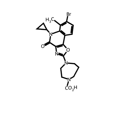 Cc1c(Br)ccc2c3oc(N4CCCN(C(=O)O)CC4)nc3c(=O)n(C3CC3)c12